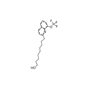 OCCCCCCCCCc1ccc2cccc(OC(F)(F)F)c2n1